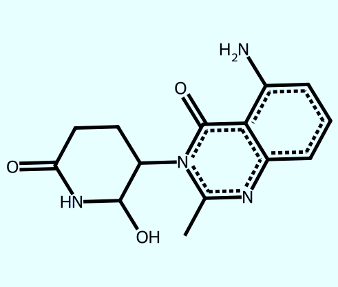 Cc1nc2cccc(N)c2c(=O)n1C1CCC(=O)NC1O